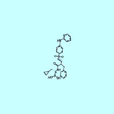 O=C(N[C@@H](CC1CC1)B(O)O)C(/C=N/S(=O)(=O)c1ccc(Nc2ccccn2)cc1)Cc1ccccc1